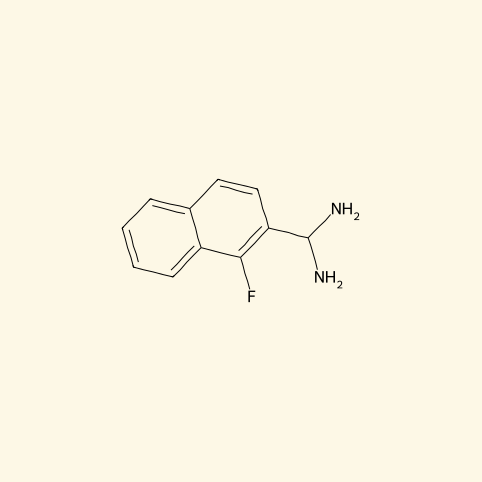 NC(N)c1ccc2ccccc2c1F